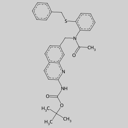 CC(=O)N(Cc1ccc2ccc(NC(=O)OC(C)(C)C)nc2c1)c1ccccc1SCc1ccccc1